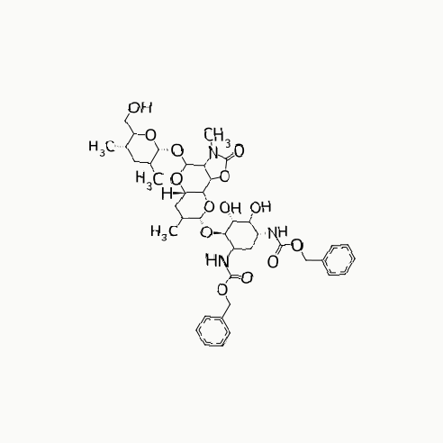 CC1C[C@@H]2OC(O[C@H]3OC(CO)[C@@H](C)CC3C)C3C(OC(=O)N3C)C2O[C@@H]1O[C@@H]1C(NC(=O)OCc2ccccc2)C[C@@H](NC(=O)OCc2ccccc2)C(O)[C@H]1O